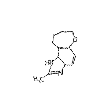 CC1=NC2C=CC3=C(CCCCO3)C2N1